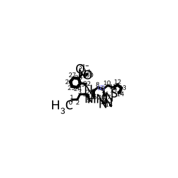 CCCCc1ncc(/C=C(/Cc2cccs2)c2nnn[nH]2)n1Cc1ccccc1[N+](=O)[O-]